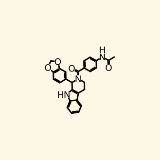 CC(=O)Nc1ccc(C(=O)N2CCc3c([nH]c4ccccc34)C2c2ccc3c(c2)OCO3)cc1